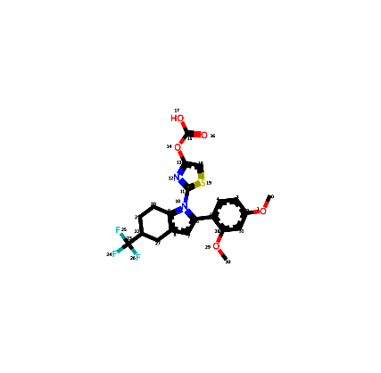 COc1ccc(-c2cc3c(n2-c2nc(OC(=O)O)cs2)CCC(C(F)(F)F)C3)c(OC)c1